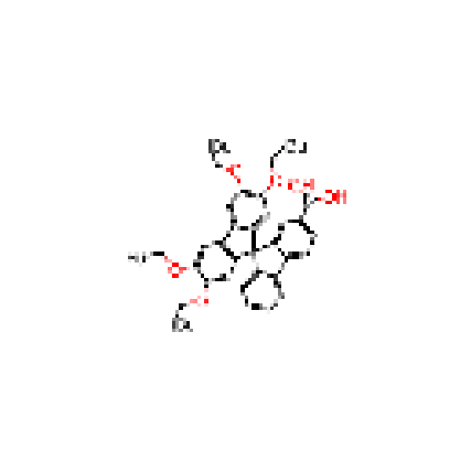 CCC(C)COc1cc2c(cc1OCC(C)CC)C1(c3ccccc3-c3ccc(B(O)O)cc31)c1cc(OCC(C)CC)c(OCC(C)CC)cc1-2